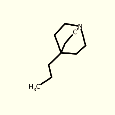 CCCC12CCN(CC1)CC2